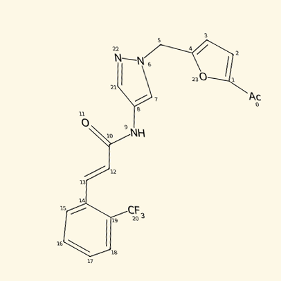 CC(=O)c1ccc(Cn2cc(NC(=O)C=Cc3ccccc3C(F)(F)F)cn2)o1